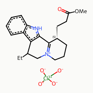 CCC1C[N+]2=C(c3[nH]c4ccccc4c31)[C@H](CCC(=O)OC)CCC2.[O-][Cl+3]([O-])([O-])[O-]